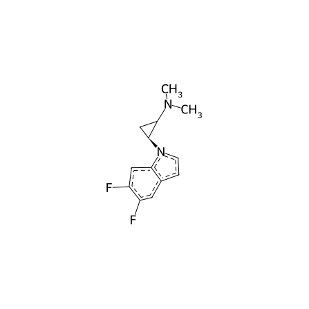 CN(C)C1C[C@@H]1n1ccc2cc(F)c(F)cc21